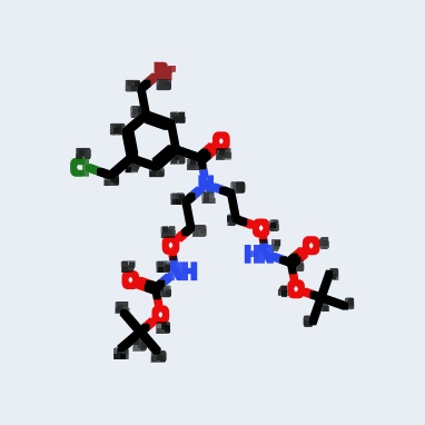 CC(C)(C)OC(=O)NOCCN(CCONC(=O)OC(C)(C)C)C(=O)c1cc(CCl)cc(CBr)c1